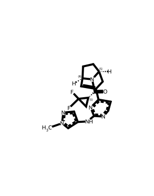 Cn1cc(Nc2nccc(C3=C[C@H]4CC[C@@H](C3)N4C(=O)[C@@H]3CC3(F)F)n2)cn1